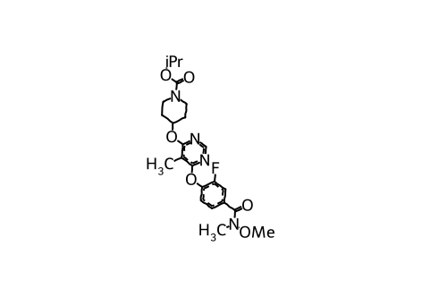 CON(C)C(=O)c1ccc(Oc2ncnc(OC3CCN(C(=O)OC(C)C)CC3)c2C)c(F)c1